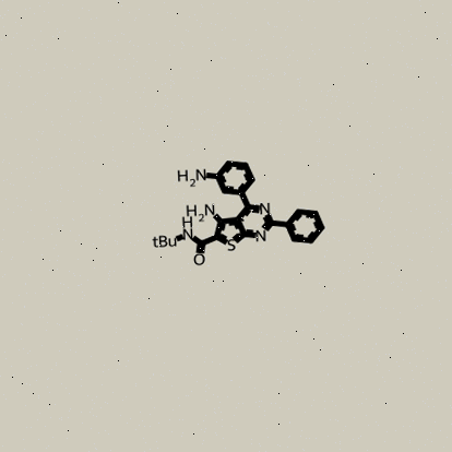 CC(C)(C)NC(=O)c1sc2nc(-c3ccccc3)nc(-c3cccc(N)c3)c2c1N